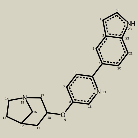 c1cc2cc(-c3ccc(OC4CC5CCN(C5)C4)cn3)ccc2[nH]1